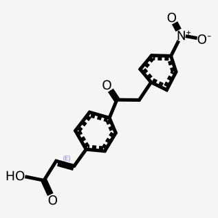 O=C(O)/C=C/c1ccc(C(=O)Cc2ccc([N+](=O)[O-])cc2)cc1